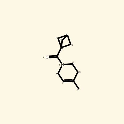 CC1=CCN(C(=O)C23CC(C2)C3)CC1